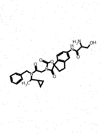 CC(C1CC1)N(Cc1ccccc1)C(=O)CN1C(=O)OC2(CCc3cc(NC(=O)C(N)CO)ccc32)C1=O